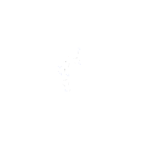 COc1cc2ncnc(Nc3ccc4[nH]ccc4c3)c2cc1-c1cncc(C#N)c1